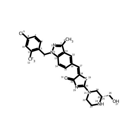 Cc1nn(Cc2ccc(Cl)cc2C(F)(F)F)c2ccc(C=C3SC(N4CCN[C@@H](CO)C4)=NC3=O)cc12